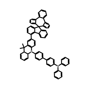 CC1(C)c2cc(-c3cccc4c3-c3ccccc3C43c4ccccc4-c4ccccc4-c4ccccc43)ccc2N(c2ccc(-c3ccc(N(c4ccccc4)c4ccccc4)cc3)cc2)C2C=CC=CC21